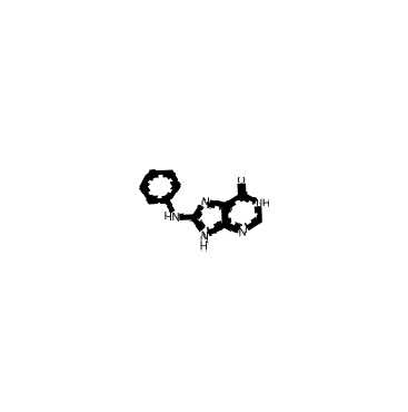 O=c1[nH]cnc2[nH]c(Nc3ccccc3)nc12